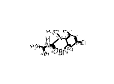 CN(C(=O)NC(=N)N)c1c(Cl)cc(Cl)cc1Br